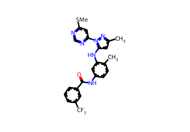 CSc1cc(-n2nc(C)cc2Nc2cc(NC(=O)c3cccc(C(F)(F)F)c3)ccc2C)ncn1